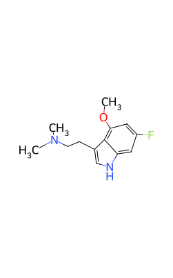 COc1cc(F)cc2[nH]cc(CCN(C)C)c12